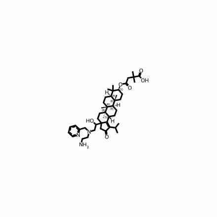 CC(C)C1=C2[C@H]3CC[C@@H]4[C@@]5(C)CC[C@H](OC(=O)CC(C)(C)C(=O)O)C(C)(C)[C@@H]5CC[C@@]4(C)[C@]3(C)CCC2(C(O)CN(CCN)Cc2ccccn2)CC1=O